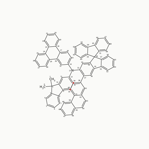 CC1(C)c2ccccc2-c2ccc(N(c3ccc4c5ccccc5c5ccccc5c4c3)c3cc4c(cc3-c3ccc5c(ccc6ccccc65)c3)-c3ccccc3C43c4ccccc4-c4ccccc43)cc21